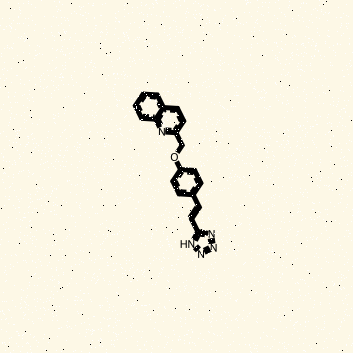 C(=Cc1nnn[nH]1)c1ccc(OCc2ccc3ccccc3n2)cc1